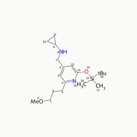 COCCCc1cc(CNC2CC2)cc(O[Si](C)(C)C(C)(C)C)n1